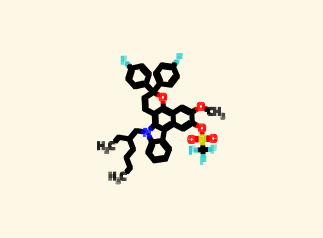 CCCCC(CC)Cn1c2ccccc2c2c3cc(OS(=O)(=O)C(F)(F)F)c(OC)cc3c3c(c21)C=CC(c1ccc(F)cc1)(c1ccc(F)cc1)O3